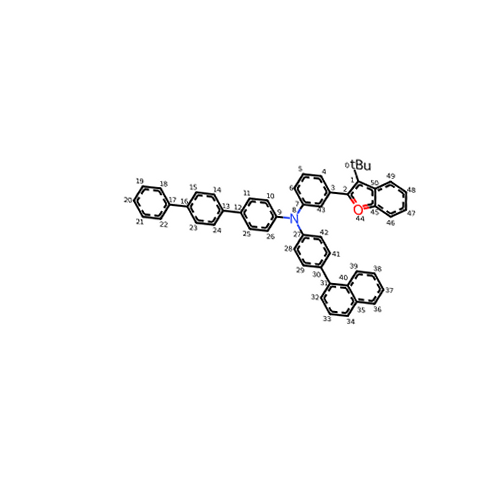 CC(C)(C)c1c(-c2cccc(N(c3ccc(-c4ccc(-c5ccccc5)cc4)cc3)c3ccc(-c4cccc5ccccc45)cc3)c2)oc2ccccc12